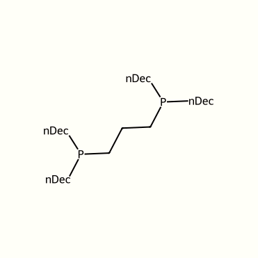 CCCCCCCCCCP(CCCCCCCCCC)CCCP(CCCCCCCCCC)CCCCCCCCCC